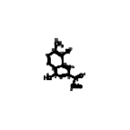 COC(=O)c1cc(O)c2ccc(C)c(Br)c2n1